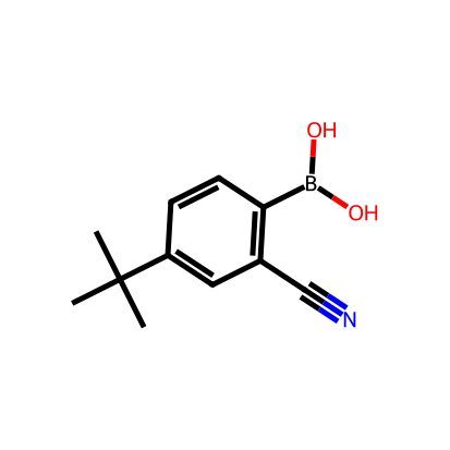 CC(C)(C)c1ccc(B(O)O)c(C#N)c1